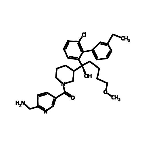 CCc1cccc(-c2c(Cl)cccc2[C@](O)(CCCCOC)C2CCCN(C(=O)c3ccc(CN)nc3)C2)c1